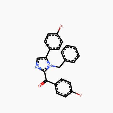 O=C(c1ccc(Br)cc1)c1ncc(-c2ccc(Br)cc2)n1Cc1ccccc1